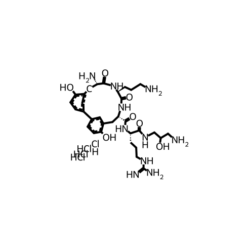 Cl.Cl.Cl.Cl.N=C(N)NCCC[C@H](NC(=O)[C@@H]1Cc2cc(ccc2O)-c2ccc(O)c(c2)C[C@H](N)C(=O)N[C@@H](CCCN)C(=O)N1)C(=O)NCC(O)CN